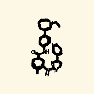 CCN1C=CC=CC(c2ccc(NC(=O)c3ccc(C)c(Nc4nccc(-c5cccnc5)n4)c3)cc2)=C1